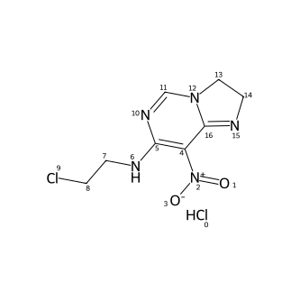 Cl.O=[N+]([O-])C1=C(NCCCl)N=CN2CCN=C12